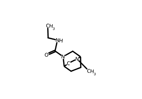 CCNC(=O)N1CC2CCC1CN2C